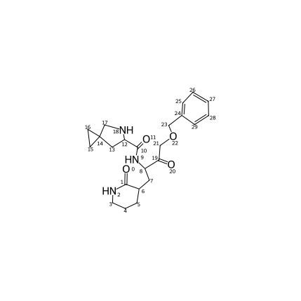 O=C1NCCCC1CC(NC(=O)C1CC2(CC2)CN1)C(=O)COCc1ccccc1